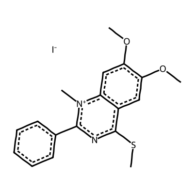 COc1cc2c(SC)nc(-c3ccccc3)[n+](C)c2cc1OC.[I-]